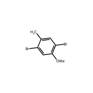 COc1cc(Br)c(C)cc1Br